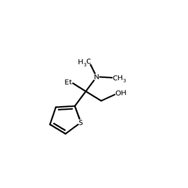 CCC(CO)(c1cccs1)N(C)C